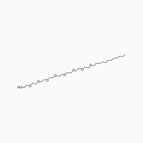 CCCCCCCCCCCCOCCOCCOCCOCCOCCOCCOCCOCCO